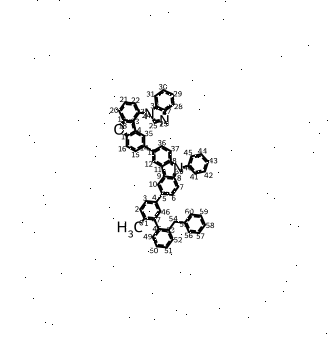 Cc1ccc(-c2ccc3c(c2)c2cc(-c4ccc5oc6cccc(-n7cnc8ccccc87)c6c5c4)ccc2n3-c2ccccc2)cc1-c1ccccc1Cc1ccccc1